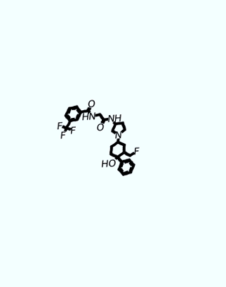 O=C(CNC(=O)c1cccc(C(F)(F)F)c1)NC1CCN(C2CCC(O)(c3ccccc3)C(CF)C2)C1